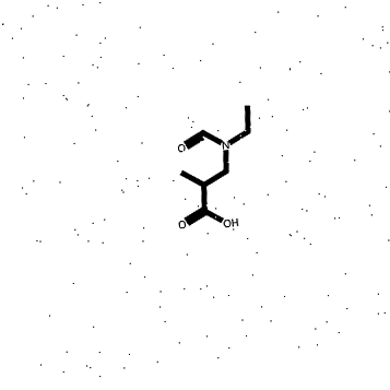 CCN(C=O)CC(C)C(=O)O